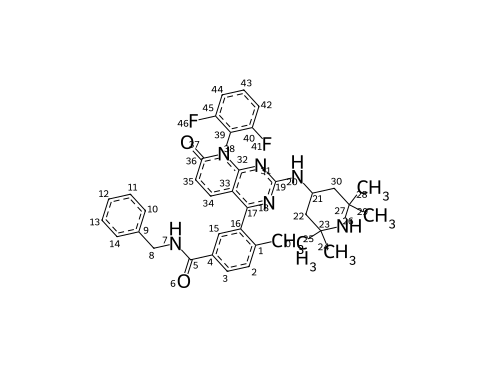 Cc1ccc(C(=O)NCc2ccccc2)cc1-c1nc(NC2CC(C)(C)NC(C)(C)C2)nc2c1ccc(=O)n2-c1c(F)cccc1F